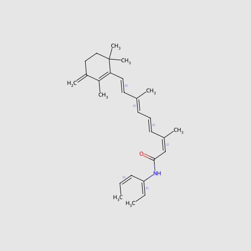 C=C1CCC(C)(C)C(/C=C/C(C)=C/C=C/C(C)=C\C(=O)NC(/C=C\C)=C/C)=C1C